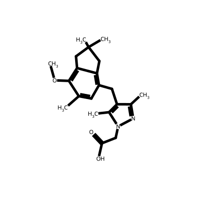 COc1c(C)cc(Cc2c(C)nn(CC(=O)O)c2C)c2c1CC(C)(C)C2